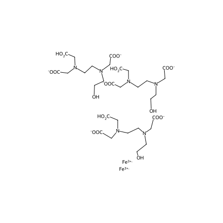 O=C([O-])CN(CCO)CCN(CC(=O)[O-])CC(=O)O.O=C([O-])CN(CCO)CCN(CC(=O)[O-])CC(=O)O.O=C([O-])CN(CCO)CCN(CC(=O)[O-])CC(=O)O.[Fe+3].[Fe+3]